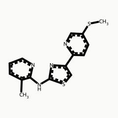 CSc1ccc(-c2csc(Nc3ncccc3C)n2)nc1